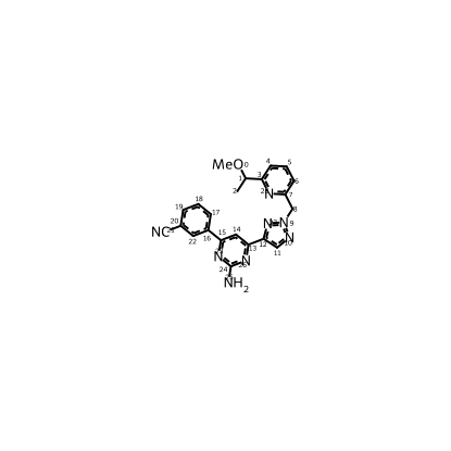 COC(C)c1cccc(Cn2ncc(-c3cc(-c4cccc(C#N)c4)nc(N)n3)n2)n1